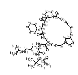 CC(C)(C)[C@H](NC(=O)[C@H](CCCNC(N)N)NC(=O)[C@@H]1CCCn2cc(nn2)CCCCCC(=O)N2CCC[C@H]2C(=O)N[C@@H](C2CCCCC2)C(=O)N1)C(N)=O